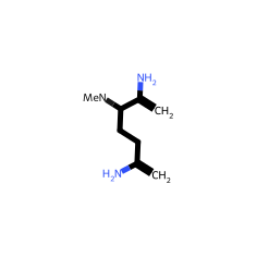 C=C(N)CCC(NC)C(=C)N